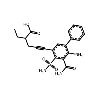 CCC(CC#Cc1cc(-c2ccccc2)c(N)c(C(N)=O)c1S(N)(=O)=O)C(=O)O